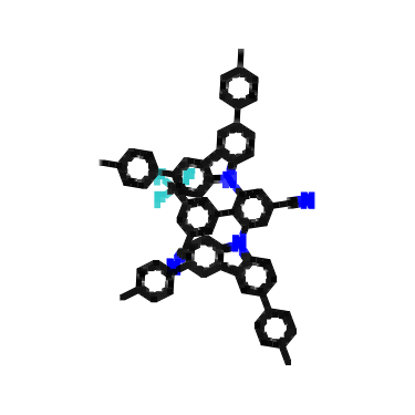 Cc1ccc(-c2ccc3c(c2)c2cc(-c4ccc(C)cc4)ccc2n3-c2cc(C#N)cc(-n3c4ccc(-c5ccc(C)cc5)cc4c4cc(-c5ccc(C)cc5)ccc43)c2-c2cc(C#N)cc(C(F)(F)F)c2)cc1